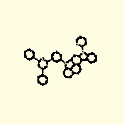 c1ccc(-c2cc(-c3ccccc3)nc(-c3cccc(-n4c5cccc6ccc7c8c9ccccc9n(-c9ccccn9)c8cc4c7c65)c3)n2)cc1